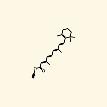 C#COC(=O)/C=C(C)/C=C/C=C(C)/C=C/C1=C(C)CCCC1(C)C